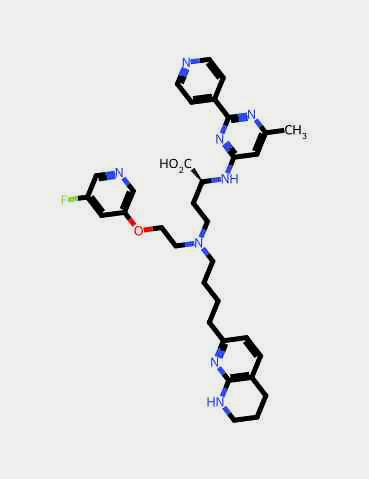 Cc1cc(N[C@@H](CCN(CCCCc2ccc3c(n2)NCCC3)CCOc2cncc(F)c2)C(=O)O)nc(-c2ccncc2)n1